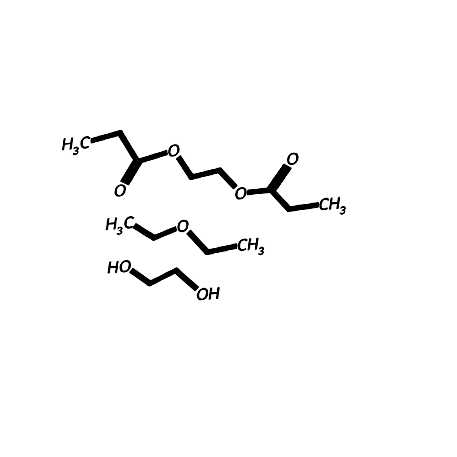 CCC(=O)OCCOC(=O)CC.CCOCC.OCCO